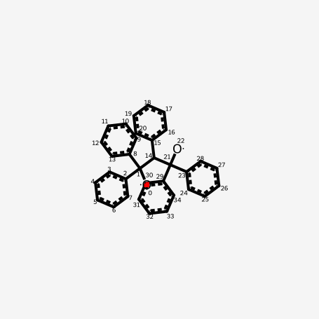 [O]C(c1ccccc1)(c1ccccc1)C(c1ccccc1)C([O])(c1ccccc1)c1ccccc1